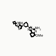 COc1cccc2c1nc(N)n1nc([C@@H]3CCCN(c4cnn(CC5(O)CCC5)c4C)C3)nc21